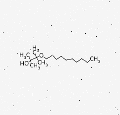 CCCCCCCCCCOC(C)(C)C(C)(C)O